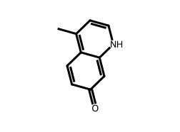 Cc1cc[nH]c2cc(=O)ccc1-2